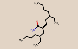 CCCCC(CC)CC=C(CC(CC)CCCC)C(N)=O